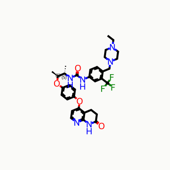 CCN1CCN(Cc2ccc(NC(=O)N[C@@H](C)[C@H](C)Oc3ccc(Oc4ccnc5c4CCC(=O)N5)cc3)cc2C(F)(F)F)CC1